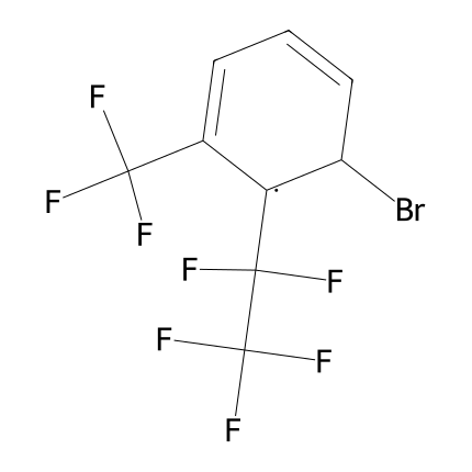 FC(F)(F)C1=CC=CC(Br)[C]1C(F)(F)C(F)(F)F